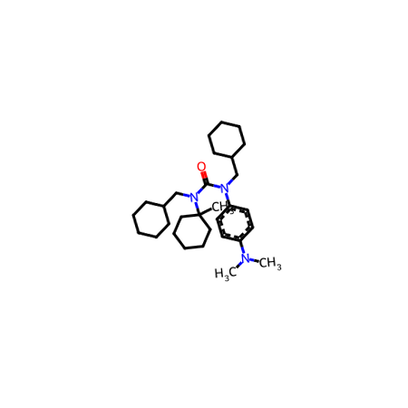 CN(C)c1ccc(N(CC2CCCCC2)C(=O)N(CC2CCCCC2)C2(C)CCCCC2)cc1